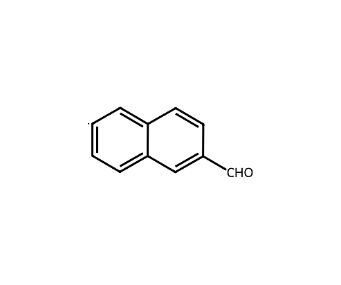 O=Cc1ccc2c[c]ccc2c1